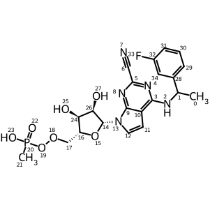 CC(Nc1nc(C#N)nc2c1ccn2[C@@H]1O[C@H](COOP(C)(=O)O)[C@@H](O)[C@H]1O)c1cccc(F)c1